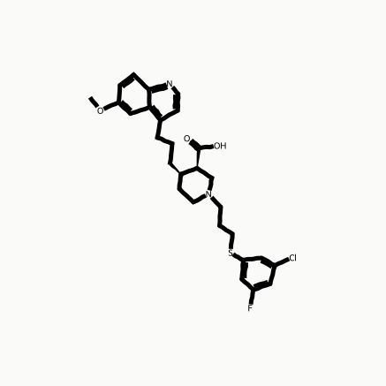 COc1ccc2nccc(CCC[C@@H]3CCN(CCCSc4cc(F)cc(Cl)c4)C[C@@H]3C(=O)O)c2c1